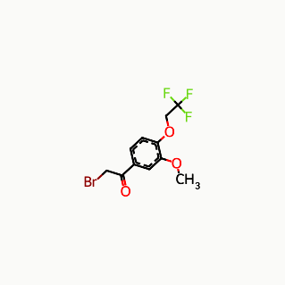 COc1cc(C(=O)CBr)ccc1OCC(F)(F)F